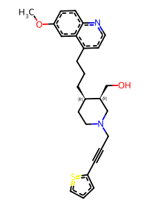 COc1ccc2nccc(CCC[C@@H]3CCN(CC#Cc4cccs4)C[C@@H]3CO)c2c1